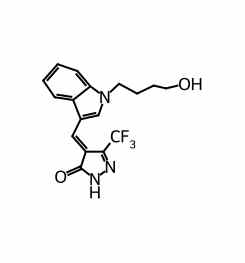 O=C1NN=C(C(F)(F)F)/C1=C\c1cn(CCCCO)c2ccccc12